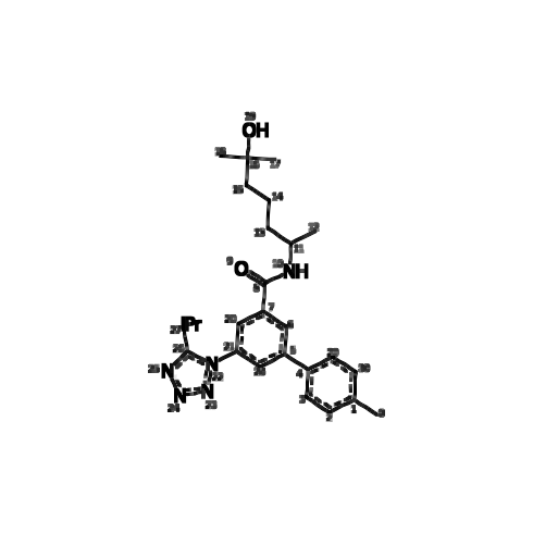 Cc1ccc(-c2cc(C(=O)NC(C)CCCC(C)(C)O)cc(-n3nnnc3C(C)C)c2)cc1